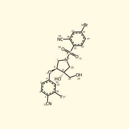 N#Cc1ccc(O[C@H]2CN(S(=O)(=O)c3ccc(Br)cc3C#N)C[C@@]2(O)CO)cc1F